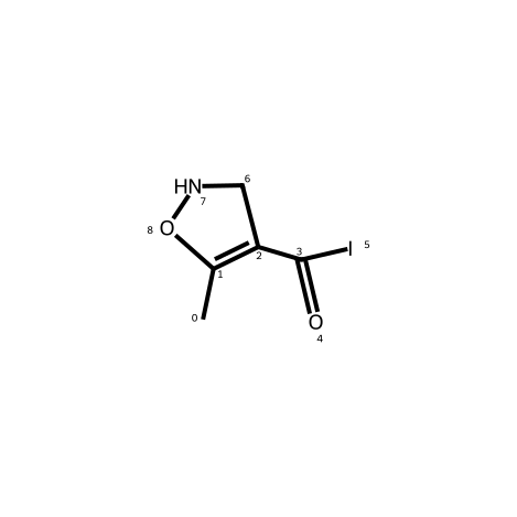 CC1=C(C(=O)I)CNO1